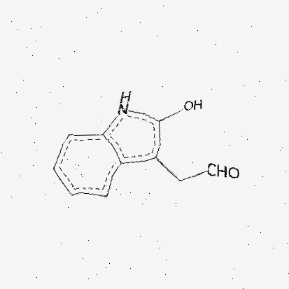 O=CCc1c(O)[nH]c2ccccc12